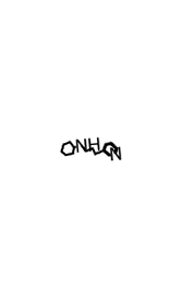 c1cncc(CCCNC2CCCCC2)c1